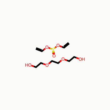 C=COS(=O)OC=C.OCCOCCOCCO